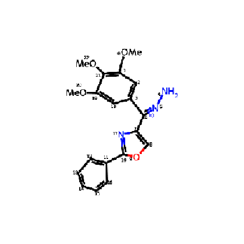 COc1cc(/C(=N\N)c2coc(-c3ccccc3)n2)cc(OC)c1OC